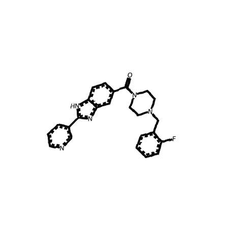 O=C(c1ccc2[nH]c(-c3cccnc3)nc2c1)N1CCN(Cc2ccccc2F)CC1